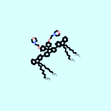 CCCCCCCCC1(CCCCCCCC)c2ccccc2-c2ccc(-c3ccc4c(c3)C(c3ccc(OCCN5CCOCC5)cc3)(c3ccc(OCCN5CCOCC5)cc3)c3cc(-c5ccc6c(c5)C(CCCCCCCC)(CCCCCCCC)c5ccccc5-6)ccc3-4)cc21